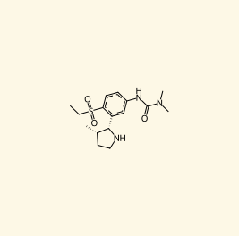 CCS(=O)(=O)c1ccc(NC(=O)N(C)C)cc1[C@@H]1NCC[C@@H]1C